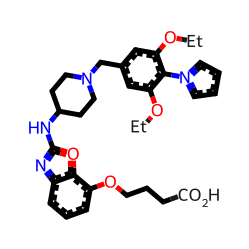 CCOc1cc(CN2CCC(Nc3nc4cccc(OCCCC(=O)O)c4o3)CC2)cc(OCC)c1-n1cccc1